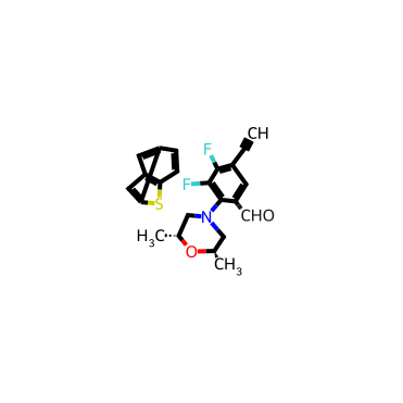 C#Cc1cc(C=O)c(N2C[C@@H](C)O[C@@H](C)C2)c(F)c1F.c1cc2sc3cc2cc1-3